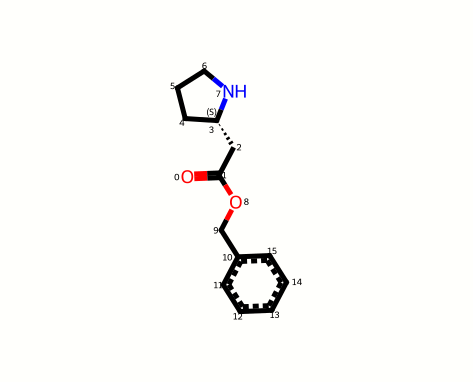 O=C(C[C@@H]1CCCN1)OCc1ccccc1